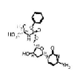 C[C@H](NP(=O)(OC[C@@H]1O[C@H](n2ccc(N)nc2=O)C[C@H]1O)Oc1ccccc1)C(=O)O